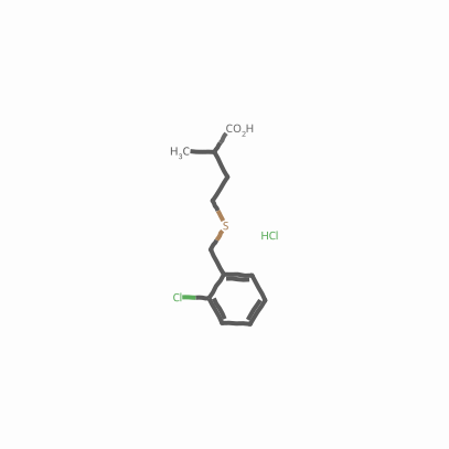 CC(CCSCc1ccccc1Cl)C(=O)O.Cl